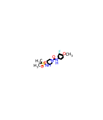 COc1ccc(NC(=O)N2CCC(NS(=O)(=O)C(C)C)CC2)cc1F